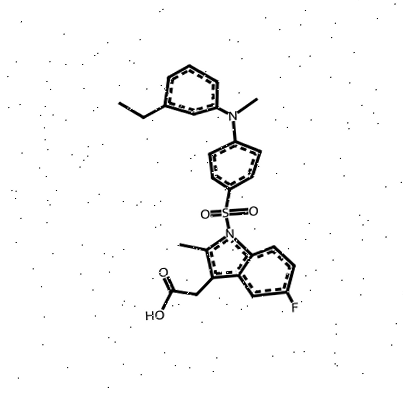 CCc1cccc(N(C)c2ccc(S(=O)(=O)n3c(C)c(CC(=O)O)c4cc(F)ccc43)cc2)c1